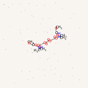 COCCc1ccc(OCC(CNC(C)C)OC(=O)CCCCOC(=O)CCC(=O)OCCCCC(=O)OC(CNC(C)C)COc2ccc(CCOC)cc2)cc1